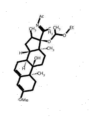 CCOC(C)O[C@]1(C(C)=NC(C)=O)C(C)C[C@H]2[C@@H]3CC=C4C=C(OC)CC[C@]4(C)[C@@]3(O)CC[C@@]21C